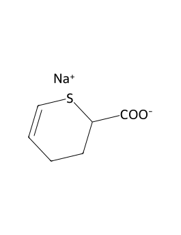 O=C([O-])C1CCC=CS1.[Na+]